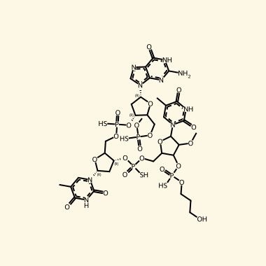 COC1C(OP(=O)(S)OCCCO)C(COP(=O)(S)O[C@@H]2C[C@H](n3cc(C)c(=O)[nH]c3=O)OC2COP(=O)(S)O[C@@H]2C[C@H](n3cnc4c(=O)[nH]c(N)nc43)OC2COP(=O)(S)OC)OC1n1cc(C)c(=O)[nH]c1=O